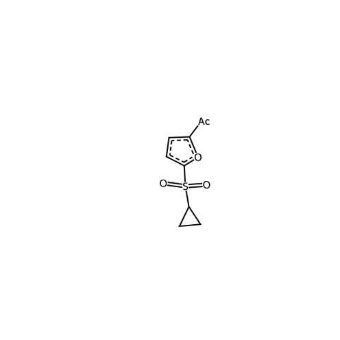 CC(=O)c1ccc(S(=O)(=O)C2CC2)o1